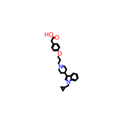 O=C(O)Cc1ccc(OCCCN2CCC(c3cn(CC4CC4)c4ccccc34)CC2)cc1